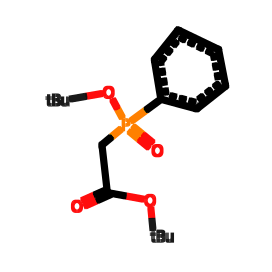 CC(C)(C)OC(=O)CP(=O)(OC(C)(C)C)c1ccccc1